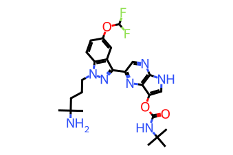 CC(C)(N)CCCn1nc(-c2cnc3[nH]cc(OC(=O)NC(C)(C)C)c3n2)c2cc(OC(F)F)ccc21